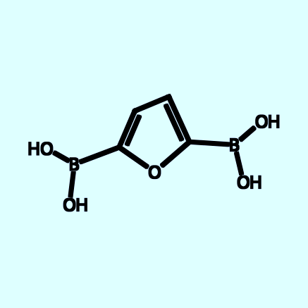 OB(O)c1ccc(B(O)O)o1